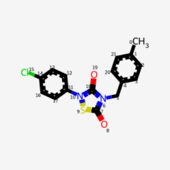 Cc1ccc(Cn2c(=O)sn(-c3ccc(Cl)cc3)c2=O)cc1